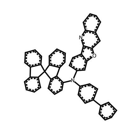 c1ccc(-c2ccc(N(c3ccc4c(c3)oc3cc5ccccc5nc34)c3cccc4c3-c3ccccc3C43c4ccccc4-c4ccccc43)cc2)cc1